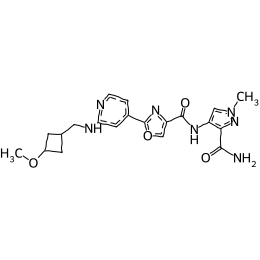 COC1CC(CNc2cc(-c3nc(C(=O)Nc4cn(C)nc4C(N)=O)co3)ccn2)C1